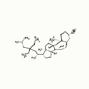 CCC(CC)(CC(C)C)C[C@@H](C)[C@H]1CC[C@H]2[C@@H]3CC=C4C[C@@H](O)CC[C@]4(C)[C@H]3CC[C@]12C